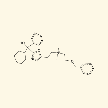 C[N+](C)(CCOCc1ccccc1)CCc1cnc(C(O)(c2ccccc2)C2CCCCC2)o1